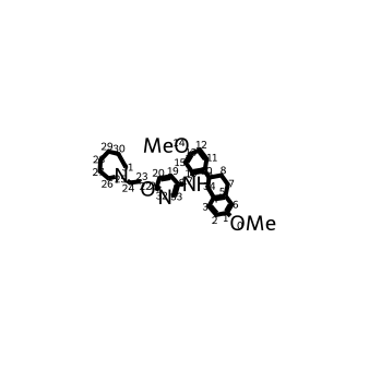 COc1ccc2c(c1)CCC(c1ccc(OC)cc1Nc1ccc(OCCN3CCCCCC3)nc1)C2